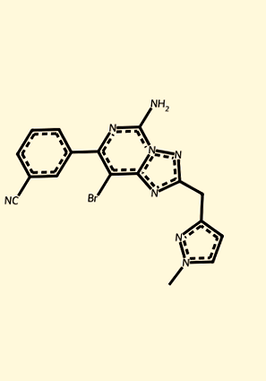 Cn1ccc(Cc2nc3c(Br)c(-c4cccc(C#N)c4)nc(N)n3n2)n1